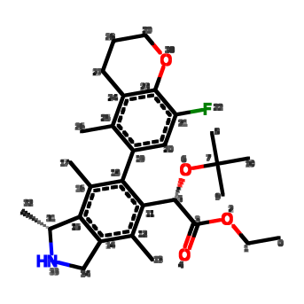 CCOC(=O)[C@@H](OC(C)(C)C)c1c(C)c2c(c(C)c1-c1cc(F)c3c(c1C)CCCO3)[C@@H](C)NC2